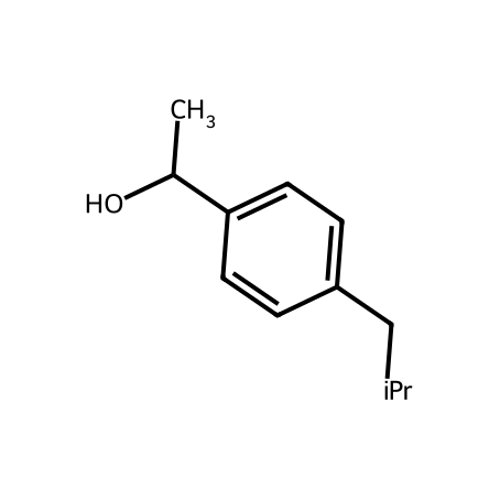 CC(C)Cc1ccc(C(C)O)cc1